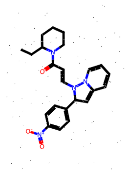 CCC1CCCCN1C(=O)C=CN1C(c2ccc([N+](=O)[O-])cc2)C=C2C=CC=CN21